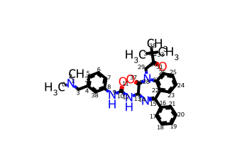 CN(C)Cc1cccc(NC(=O)NC2N=C(c3ccccc3)c3ccccc3N(CC(=O)C(C)(C)C)C2=O)c1